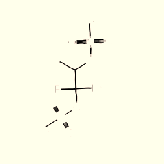 CC(OS(C)(=O)=O)C(F)(F)OS(C)(=O)=O